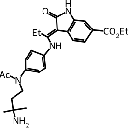 CCOC(=O)c1ccc2c(c1)NC(=O)C2=C(CC)Nc1ccc(N(CCC(C)(C)N)C(C)=O)cc1